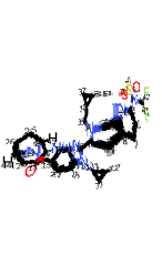 CS(=O)(=O)N(c1ccc2cc(-c3nc4cc(C(=O)N5[C@@H]6CC[C@@H](N)[C@H]5CC6)ccc4n3C3CC3)n(CC3CC3)c2n1)C(F)F